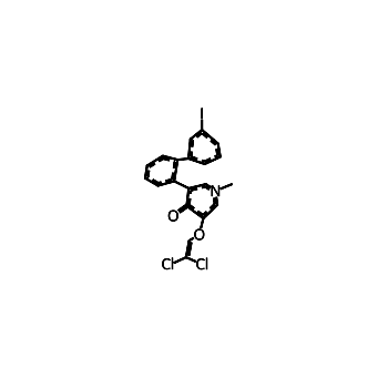 Cn1cc(OC=C(Cl)Cl)c(=O)c(-c2ccccc2-c2cccc(I)c2)c1